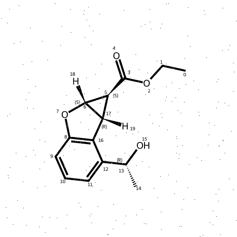 CCOC(=O)[C@@H]1[C@H]2Oc3cccc([C@@H](C)O)c3[C@H]21